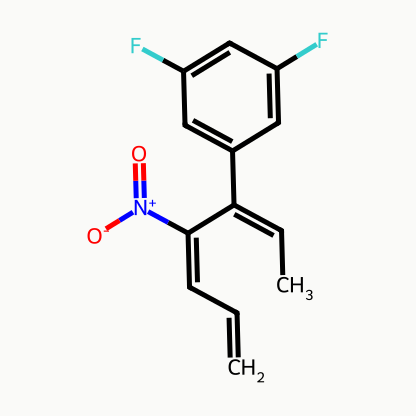 C=C/C=C(\C(=C/C)c1cc(F)cc(F)c1)[N+](=O)[O-]